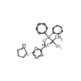 CC(C)(C)[Si](OCc1nnc([C@@H]2CCCN2)o1)(c1ccccc1)c1ccccc1